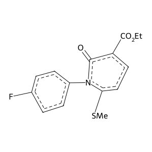 CCOC(=O)c1ccc(SC)n(-c2ccc(F)cc2)c1=O